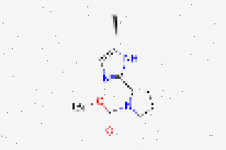 C#Cc1cnc(C2CCCN2C(=O)OC(C)(C)C)[nH]1